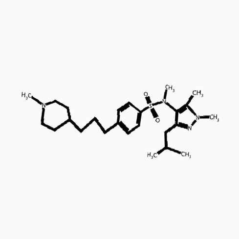 Cc1c(N(C)S(=O)(=O)c2ccc(CCCC3CCN(C)CC3)cc2)c(CC(C)C)nn1C